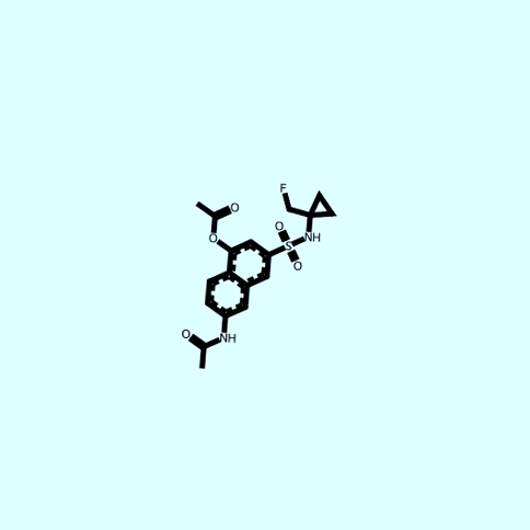 CC(=O)Nc1ccc2c(OC(C)=O)cc(S(=O)(=O)NC3(CF)CC3)cc2c1